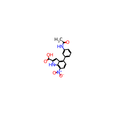 CC(=O)Nc1cccc(-c2ccc([N+](=O)[O-])c3[nH]c(C(=O)O)cc23)c1